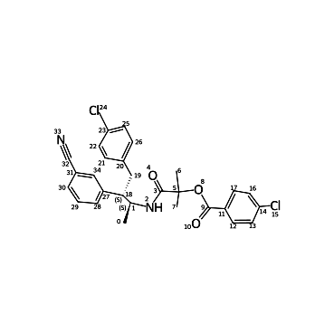 C[C@H](NC(=O)C(C)(C)OC(=O)c1ccc(Cl)cc1)[C@@H](Cc1ccc(Cl)cc1)c1cccc(C#N)c1